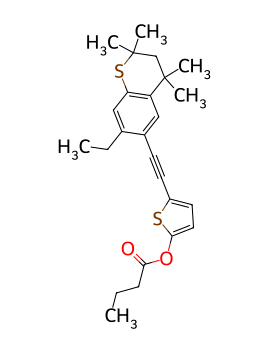 CCCC(=O)Oc1ccc(C#Cc2cc3c(cc2CC)SC(C)(C)CC3(C)C)s1